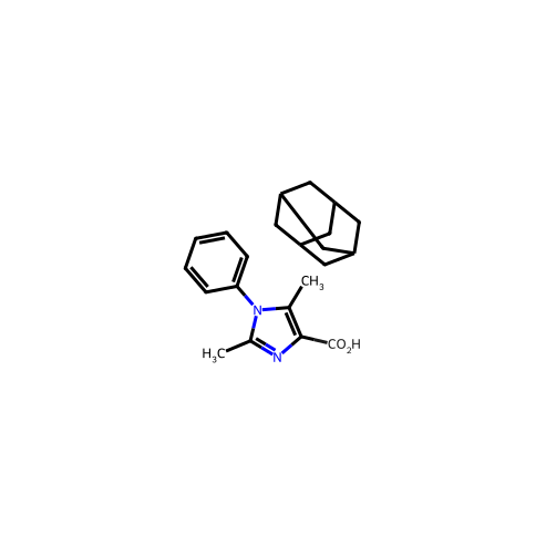 C1C2CC3CC1CC(C2)C3.Cc1nc(C(=O)O)c(C)n1-c1ccccc1